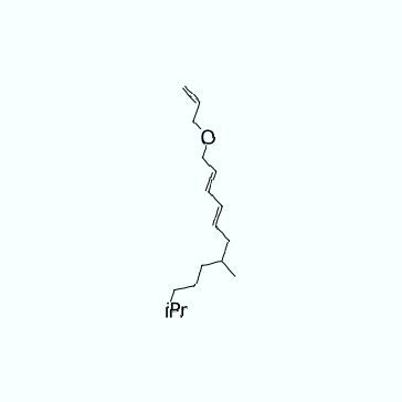 C=CCOC/C=C/C=C/CC(C)CCCC(C)C